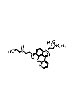 CN(C)CCn1nc2c3c(c(NCCNCCO)ccc31)Sc1ncccc1-2